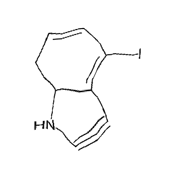 IC1=C2C#CNC2CC=C1